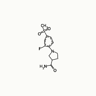 CS(=O)(=O)c1ccc(N2CCC(C(N)=O)C2)c(F)c1